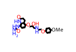 COc1ccc(OCCNCC(O)COc2ccc(NC(N)=O)c3c2CCC(=O)N3)cc1